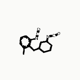 Cc1cccc(N=C=O)c1CC1CCCC(N=C=O)C1